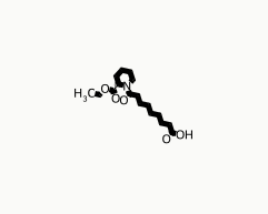 CCOC(=O)[C@@H]1CCCCN1C(=O)CCCCCCCC(=O)O